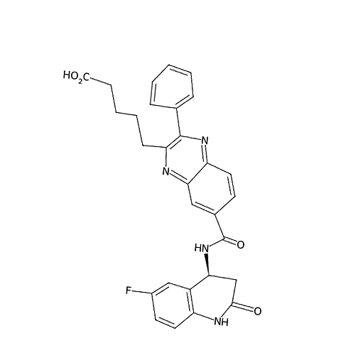 O=C(O)CCCCc1nc2cc(C(=O)N[C@H]3CC(=O)Nc4ccc(F)cc43)ccc2nc1-c1ccccc1